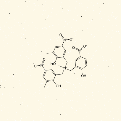 Cc1cc([N+](=O)[O-])cc(C[N+](C)(Cc2cc([N+](=O)[O-])ccc2O)Cc2cc([N+](=O)[O-])cc(C)c2O)c1O